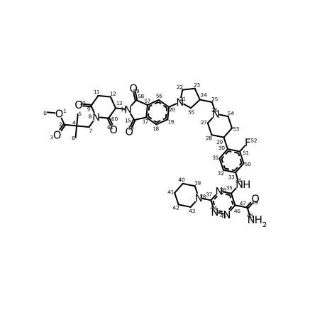 COC(=O)C(C)(C)CN1C(=O)CCC(N2C(=O)c3ccc(N4CCC(CN5CCC(c6ccc(Nc7nc(N8CCCCC8)nnc7C(N)=O)cc6F)CC5)C4)cc3C2=O)C1=O